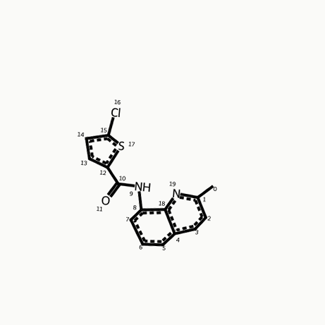 Cc1ccc2cccc(NC(=O)c3ccc(Cl)s3)c2n1